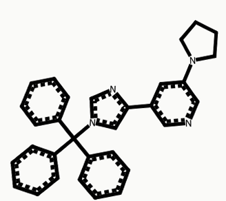 c1ccc(C(c2ccccc2)(c2ccccc2)n2cnc(-c3cncc(N4CCCC4)c3)c2)cc1